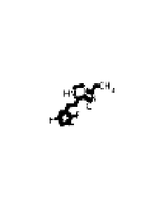 CCc1nc(Cl)c2n1CCNC2CCc1cc(F)cc(F)c1F